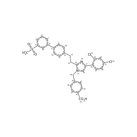 CS(=O)(=O)c1cccc(-c2ccc(CCc3nc(-c4ccc(Cl)cc4Cl)cn3Cc3ccc(C(=O)O)cc3)cc2)c1